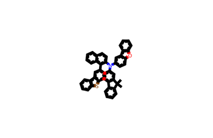 CC1(C)c2ccccc2-c2ccc(N(c3ccc4oc5ccccc5c4c3)c3ccc4ccccc4c3-c3ccc4sc5ccccc5c4c3)cc21